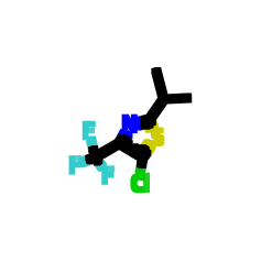 CC(C)c1nc(C(F)(F)F)c(Cl)s1